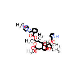 CO[C@H]1CC2C=C[C@@H]3C[C@]2(O[C@H]3[C@H](OC(=O)c2ccc[nH]2)[C@H](C)[C@H](C)O)/C(C)=C/[C@@H](C)[C@@H]([C@@H](C)OC(=O)c2ccccc2C[N+]23CC[N+](C)(CC2)CC3)OC1=O